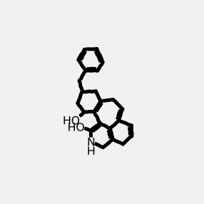 OC1=C2C3=C(CC=CC3=CCC3=C2C(O)CC(Cc2ccccc2)C3)CN1